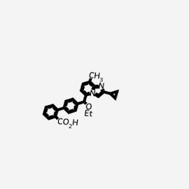 CCOC(c1ccc(-c2ccccc2C(=O)O)cc1)c1ccc(C)c2nc(C3CC3)cn12